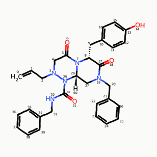 C=CCN1CC(=O)N2[C@H](Cc3ccc(O)cc3)C(=O)N(Cc3ccccc3)C[C@@H]2N1C(=O)NCc1ccccc1